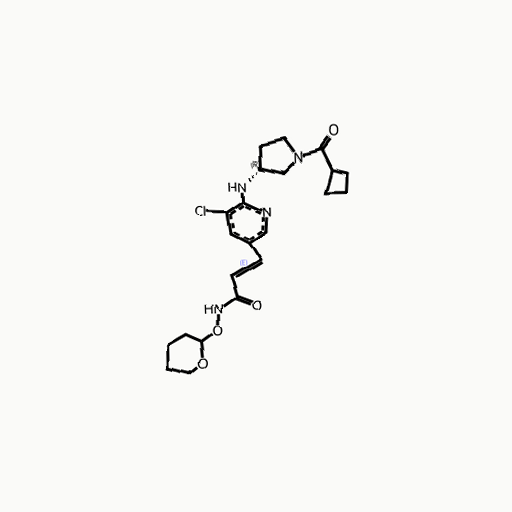 O=C(/C=C/c1cnc(N[C@@H]2CCN(C(=O)C3CCC3)C2)c(Cl)c1)NOC1CCCCO1